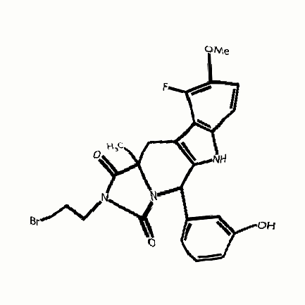 COc1ccc2[nH]c3c(c2c1F)CC1(C)C(=O)N(CCBr)C(=O)N1C3c1cccc(O)c1